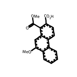 COC(=O)c1c(C(=O)O)ccc2c1cc(OC)c1ccccc12